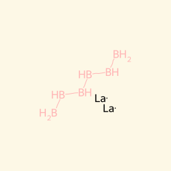 BBBBBB.[La].[La]